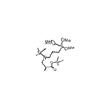 CO[Si](CCCN(CC(C)C(=O)O[Si](C)(C)C)[Si](C)(C)C)(OC)OC